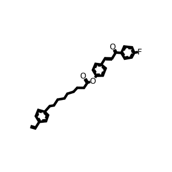 C=Cc1ccc(CCCCCCCCC(=O)Oc2ccc(C=CC(=O)c3ccc(F)cc3)cc2)cc1